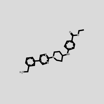 CCOC(=O)c1ccc(NC2CCN(c3ncc(-c4cccc(CN)c4)cn3)CC2)cc1